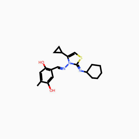 Cc1cc(O)c(/C=N/n2c(C3CC3)cs/c2=N\C2CCCCC2)cc1O